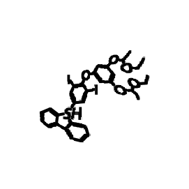 CCOC(C)Oc1cc(Oc2c(I)cc([SH]3c4ccccc4-c4ccccc43)cc2I)cc(OC(C)OCC)c1